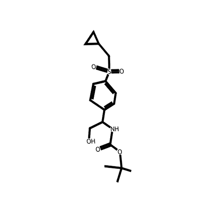 CC(C)(C)OC(=O)NC(CO)c1ccc(S(=O)(=O)CC2CC2)cc1